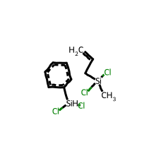 C=CC[Si](C)(Cl)Cl.Cl[SiH](Cl)c1ccccc1